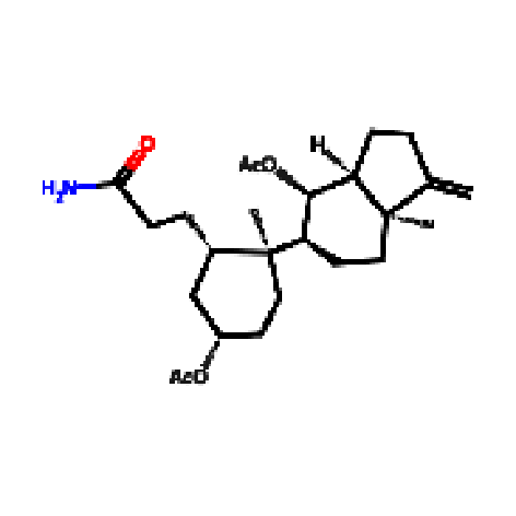 C=C1CC[C@@H]2[C@H](OC(C)=O)[C@H]([C@@]3(C)CC[C@H](OC(C)=O)C[C@@H]3CCC(N)=O)CC[C@]12C